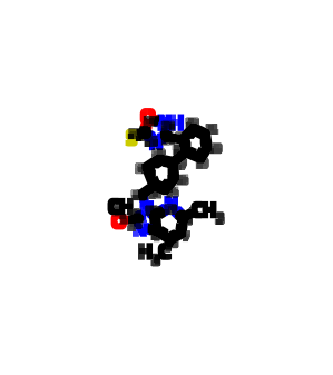 COc1nc2c(C)cc(C)nc2n1Cc1ccc(-c2ccccc2-c2nc(=S)o[nH]2)cc1